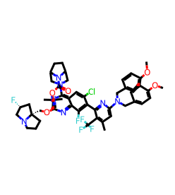 COc1ccc(CN(Cc2ccc(OC)cc2)c2cc(C)c(C(F)(F)F)c(-c3c(Cl)cc4c(N5CC6CCC(C5)N6C(=O)OC(C)(C)C)nc(OC[C@]56CCCN5C[C@H](F)C6)nc4c3F)n2)cc1